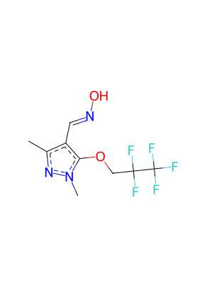 Cc1nn(C)c(OCC(F)(F)C(F)(F)F)c1C=NO